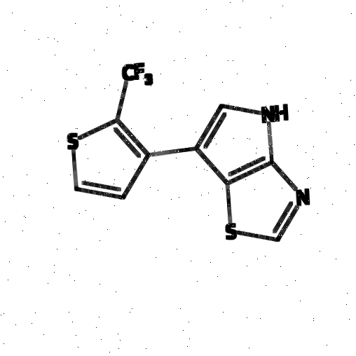 FC(F)(F)c1sccc1-c1c[nH]c2ncsc12